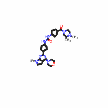 CC1CN(C(=O)c2ccc(NC(=O)Nc3ccc(-c4nc(N5CCOCC5)c5ccn(C(C)C)c5n4)cc3)cc2)CCN1C